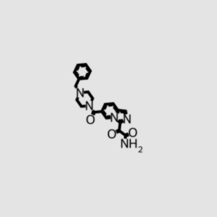 NC(=O)C(=O)c1ncc2ccc(C(=O)N3CCN(Cc4ccccc4)CC3)cn12